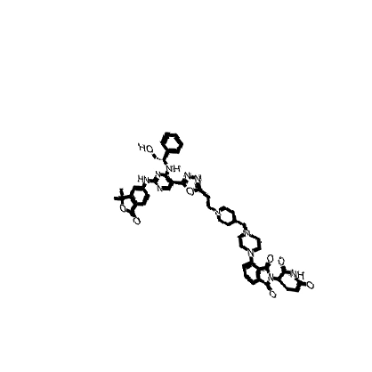 CC1(C)OC(=O)c2ccc(Nc3ncc(-c4nnc(CCN5CCC(CN6CCN(c7cccc8c7C(=O)N(C7CCC(=O)NC7=O)C8=O)CC6)CC5)o4)c(N[C@H](CO)c4ccccc4)n3)cc21